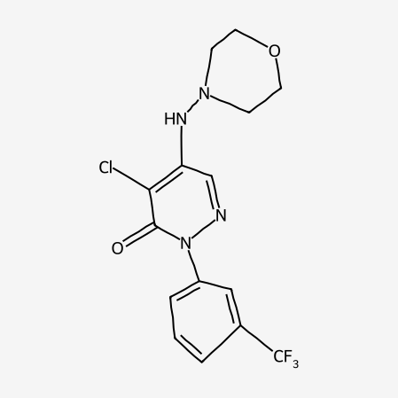 O=c1c(Cl)c(NN2CCOCC2)cnn1-c1cccc(C(F)(F)F)c1